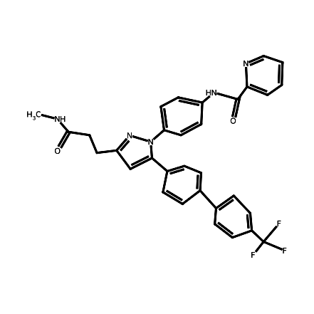 CNC(=O)CCc1cc(-c2ccc(-c3ccc(C(F)(F)F)cc3)cc2)n(-c2ccc(NC(=O)c3ccccn3)cc2)n1